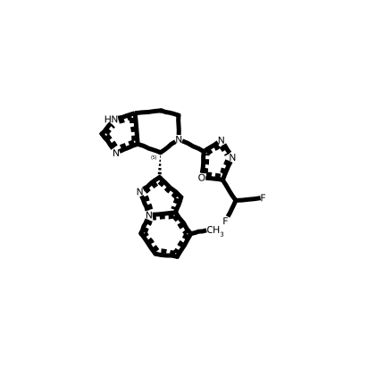 Cc1cccn2nc([C@@H]3c4nc[nH]c4CCN3c3nnc(C(F)F)o3)cc12